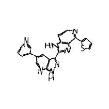 c1cncc(-c2cnc3[nH]nc(-c4nc5c(-c6cccs6)nccc5[nH]4)c3c2)c1